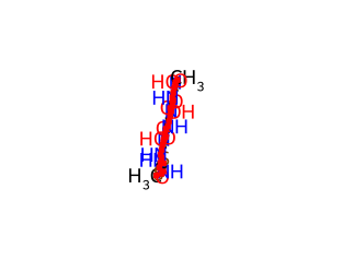 CSC(=O)Nc1ccc(NC(=S)NCCCCCN(O)C(=O)CCC(=O)NCCCCCN(O)C(=O)CCC(=O)NCCCCCN(O)C(C)=O)cc1